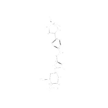 CC(C)(C)[C@H]1C[C@H](c2nc(COc3ccc(C4COS(=O)OC4)cc3)cs2)CCN1C(=O)O